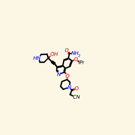 CC(C)Oc1cc2c(O[C@@H]3CCCN(C(=O)CC#N)C3)ncc(C#CC3(O)CCNCC3)c2cc1C(N)=O